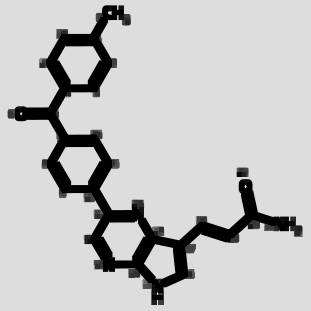 Cc1ccc(C(=O)c2ccc(-c3cnc4[nH]cc(/C=C/C(N)=O)c4n3)cc2)cc1